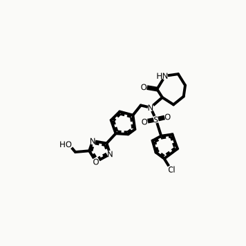 O=C1NCCCCC1N(Cc1ccc(-c2noc(CO)n2)cc1)S(=O)(=O)c1ccc(Cl)cc1